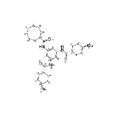 CC(C)(C)[C@H]1CC[C@H](C(=O)Nc2cc(NC(=O)C3CCCCCCC3)cc(NC(=O)[C@H]3CC[C@H](C(C)(C)C)CC3)c2)CC1